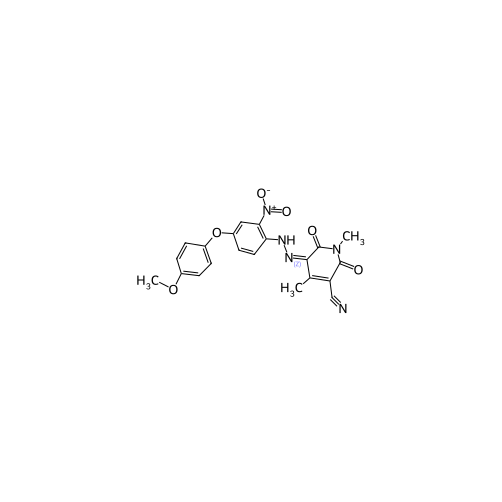 COc1ccc(Oc2ccc(N/N=C3\C(=O)N(C)C(=O)C(C#N)=C3C)c([N+](=O)[O-])c2)cc1